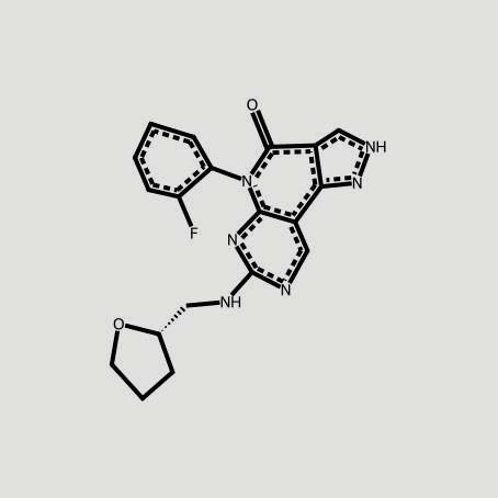 O=c1c2c[nH]nc2c2cnc(NC[C@@H]3CCCO3)nc2n1-c1ccccc1F